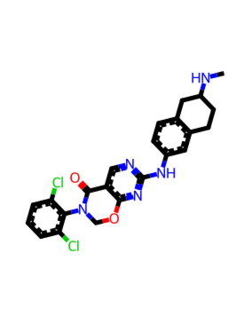 CNC1CCc2cc(Nc3ncc4c(n3)OCN(c3c(Cl)cccc3Cl)C4=O)ccc2C1